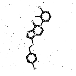 Cc1c(Cl)cccc1-n1ccn2c(SCc3ccc(C(C)C)cc3)nnc2c1=O